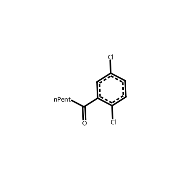 CCCCCC(=O)c1cc(Cl)ccc1Cl